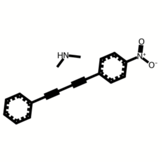 CNC.O=[N+]([O-])c1ccc(C#CC#Cc2ccccc2)cc1